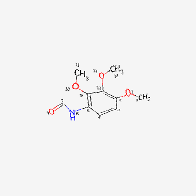 COc1ccc(N[C]=O)c(OC)c1OC